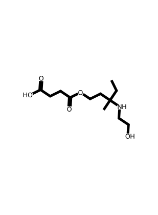 CCC(C)(CCOC(=O)CCC(=O)O)NCCO